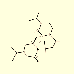 CC(C)N1C[C@@H](C)N(C(C)(C)CC(C)N2CCN(C(C)C)[C@@H](C)[C@H]2C)[C@@H](C)C1